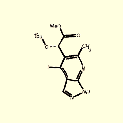 COC(=O)[C@@H](OC(C)(C)C)c1c(C)nc2[nH]ncc2c1I